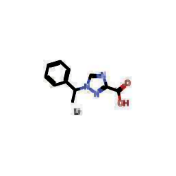 CC(c1ccccc1)n1cnc(C(=O)O)n1.[Li]